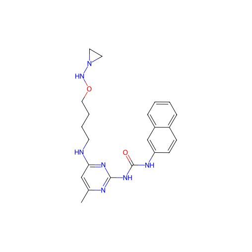 Cc1cc(NCCCCONN2CC2)nc(NC(=O)Nc2ccc3ccccc3c2)n1